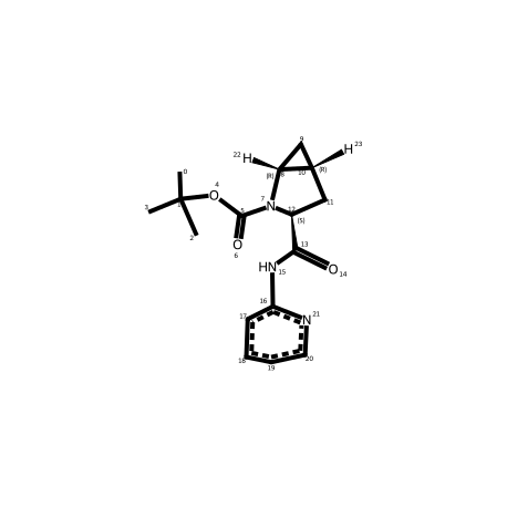 CC(C)(C)OC(=O)N1[C@@H]2C[C@@H]2C[C@H]1C(=O)Nc1ccccn1